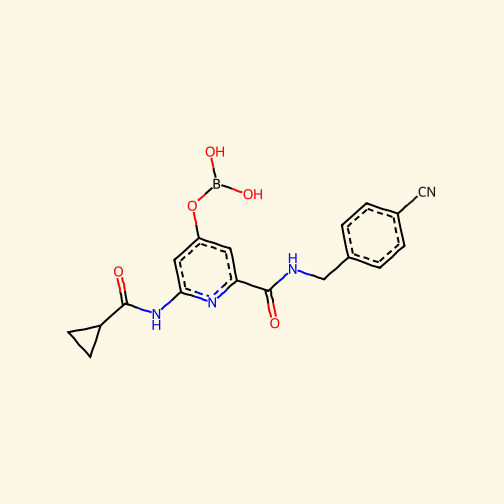 N#Cc1ccc(CNC(=O)c2cc(OB(O)O)cc(NC(=O)C3CC3)n2)cc1